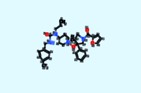 C=CCN(C(=O)NCc1ccc(C(F)(F)F)cc1)C1CCN(O[C@]2(c3ccccc3)CN(C(=O)c3ccco3)C[C@@H]2C)CC1